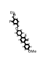 CCOCc1ccc(COC2CCC(c3ccc(-c4ccc(OC)cc4)c(F)c3F)CC2)cc1F